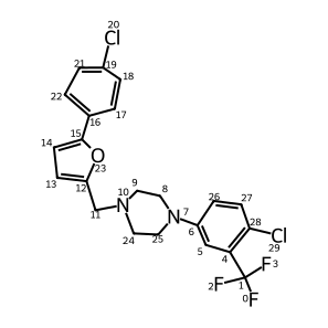 FC(F)(F)c1cc(N2CCN(Cc3ccc(-c4ccc(Cl)cc4)o3)CC2)ccc1Cl